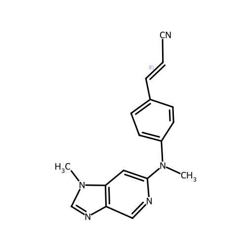 CN(c1ccc(/C=C/C#N)cc1)c1cc2c(cn1)ncn2C